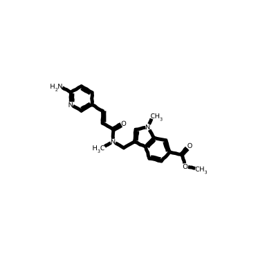 COC(=O)c1ccc2c(CN(C)C(=O)C=Cc3ccc(N)nc3)cn(C)c2c1